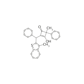 Cc1c(C(C2=C(O)C(C)(c3ccccc3)C2=O)c2ccccc2)sc2ccccc12